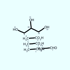 CC(=O)O.CC(=O)O.CC(=O)O.NC=O.OCC(O)CO